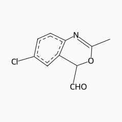 CC1=Nc2ccc(Cl)cc2C(C=O)O1